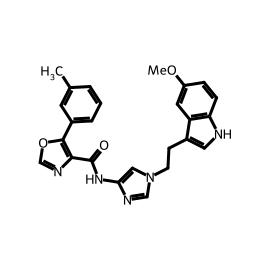 COc1ccc2[nH]cc(CCn3cnc(NC(=O)c4ncoc4-c4cccc(C)c4)c3)c2c1